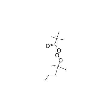 CCCC(C)(C)OOOC(=O)C(C)(C)C